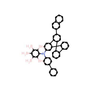 Bc1c(B)c(B)c(N(c2ccc(-c3ccccc3)cc2)c2ccc3c(c2)C2(c4ccccc4-c4ccccc42)c2ccc(-c4ccc5ccccc5c4)cc2-3)c(B)c1B